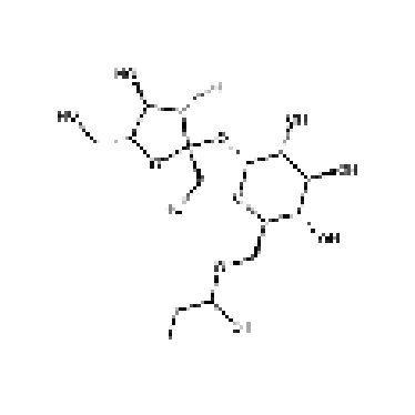 [CH2]CC(O)OC[C@H]1O[C@H](O[C@]2(CO)O[C@H](CO)[C@@H](O)[C@@H]2O)[C@H](O)[C@@H](O)[C@@H]1O